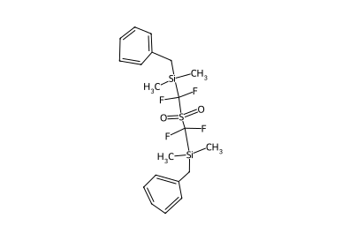 C[Si](C)(Cc1ccccc1)C(F)(F)S(=O)(=O)C(F)(F)[Si](C)(C)Cc1ccccc1